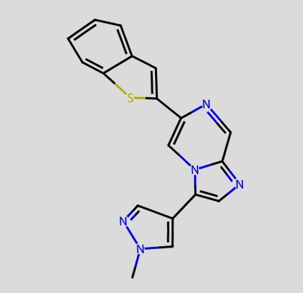 Cn1cc(-c2cnc3cnc(-c4cc5ccccc5s4)cn23)cn1